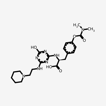 CN(C)C(=O)Oc1ccc(C[C@H](Nc2nc(O)nc(NCCN3CCCCC3)n2)C(=O)O)cc1